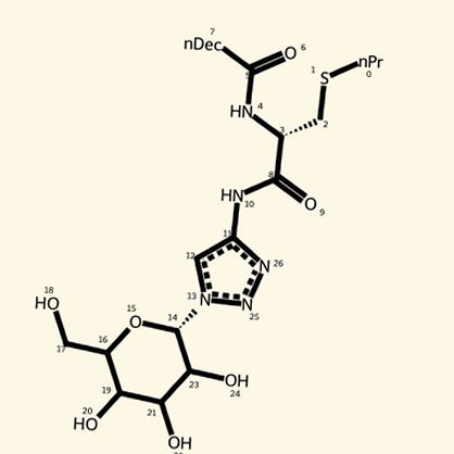 [CH2][CH]CSC[C@@H](NC(=O)CCCCCCCCCC)C(=O)Nc1cn([C@H]2OC(CO)C(O)C(O)C2O)nn1